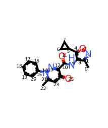 Cc1noc(C2CC2)c1NC(=O)c1nn(-c2ccccc2)c(C)cc1=O